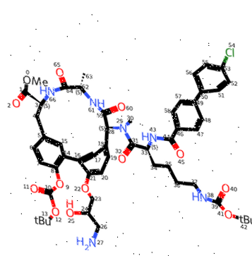 COC(=O)[C@@H]1Cc2ccc(OC(=O)OC(C)(C)C)c(c2)-c2cc(ccc2OCC(O)CN)[C@H](N(C)C(=O)[C@H](CCCCNC(=O)OC(C)(C)C)NC(=O)c2ccc(-c3ccc(Cl)cc3)cc2)C(=O)N[C@@H](C)C(=O)N1